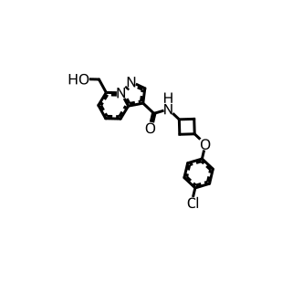 O=C(NC1CC(Oc2ccc(Cl)cc2)C1)c1cnn2c(CO)cccc12